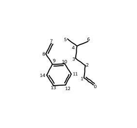 C=CCCC(C)C.C=Cc1ccccc1